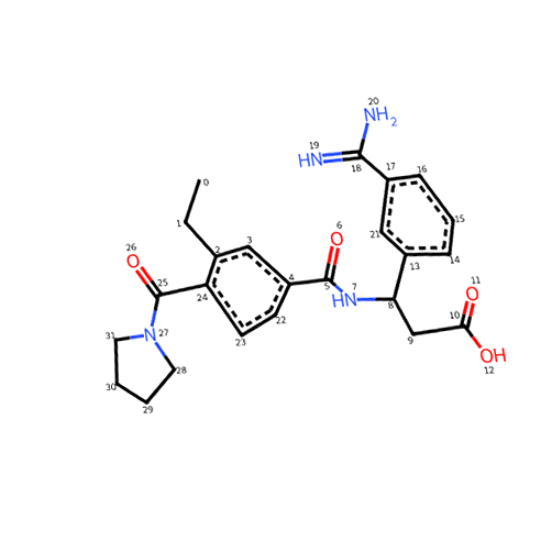 CCc1cc(C(=O)NC(CC(=O)O)c2cccc(C(=N)N)c2)ccc1C(=O)N1CCCC1